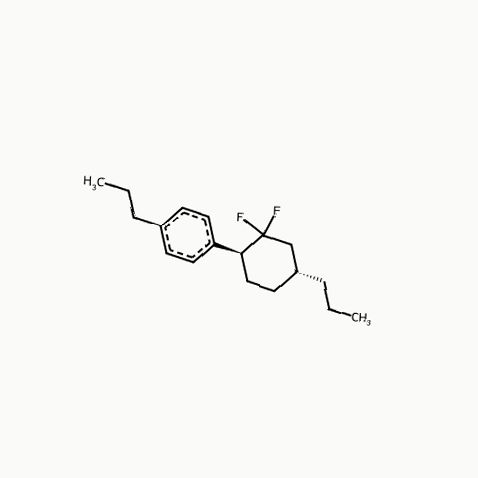 CCCc1ccc([C@@H]2CC[C@@H](CCC)CC2(F)F)cc1